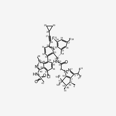 C[C@@H]1c2c(C(F)F)nn(CC(=O)N[C@@H](Cc3cc(F)cc(F)c3)c3nc(C#CC4CC4)ccc3-c3ccc(Cl)c4c(NS(C)(=O)=O)nn(C)c34)c2C(F)(F)[C@@H]1C